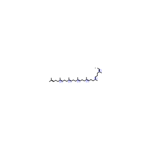 [CH2]/C=C(/C)CC/C=C(\C)CC/C=C(\C)CC/C=C(\C)CC/C=C(\C)CC/C=C(\C)CCC=C(C)C